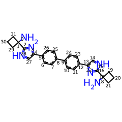 NC1(c2nc(-c3ccc(-c4ccc(-c5c[nH]c(C6(N)CCC6)n5)cc4)cc3)c[nH]2)CCC1